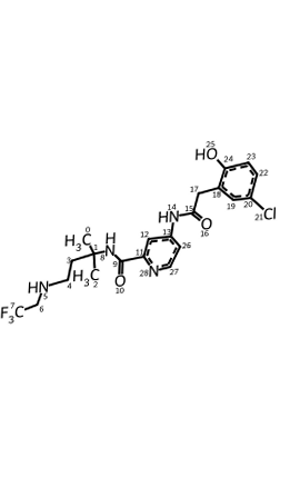 CC(C)(CCNCC(F)(F)F)NC(=O)c1cc(NC(=O)Cc2cc(Cl)ccc2O)ccn1